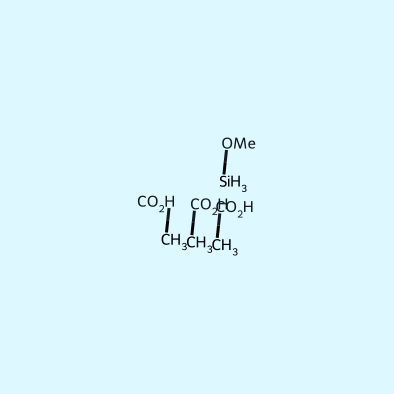 CC(=O)O.CC(=O)O.CC(=O)O.CO[SiH3]